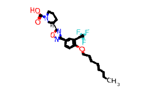 CCCCCCCCOc1ccc(-c2noc([C@@H]3CCCN(C(=O)O)C3)n2)cc1C(F)(F)F